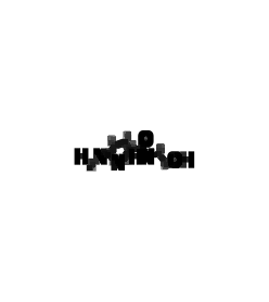 Nc1ccc(C(=O)NCCO)cn1